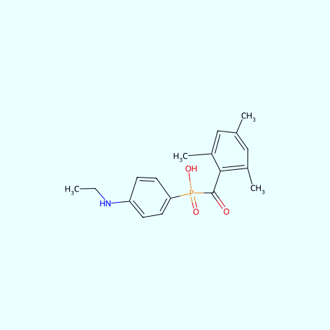 CCNc1ccc(P(=O)(O)C(=O)c2c(C)cc(C)cc2C)cc1